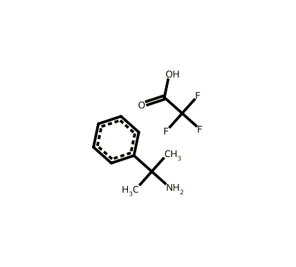 CC(C)(N)c1ccccc1.O=C(O)C(F)(F)F